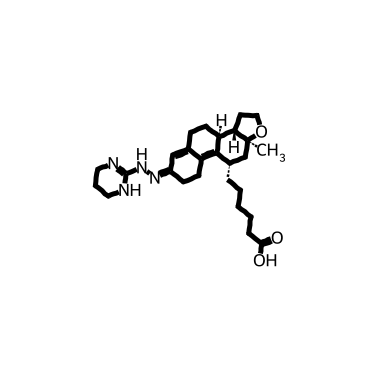 C[C@]12C[C@H](CCCCCC(=O)O)C3=C4CCC(=NNC5=NCCCN5)C=C4CC[C@H]3[C@@H]1CCO2